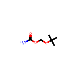 CC(C)(C)OCOC(N)=O